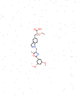 CCO[C@@H](Cc1ccc2c(ccn2Cc2nc(-c3cc(OC)cc(OC)c3)oc2C)c1)C(=O)O